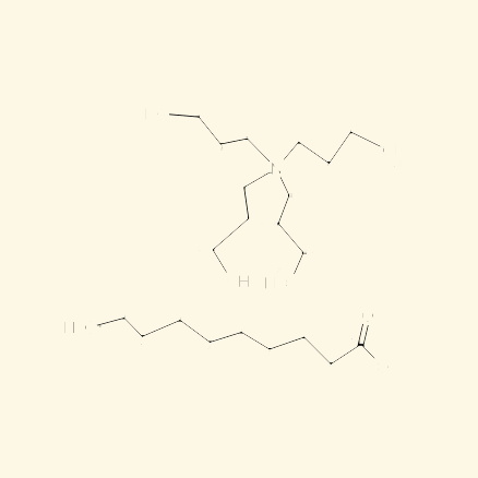 CCCCCCCCCC(=O)[O-].CCCC[N+](CCCC)(CCCC)CCCC